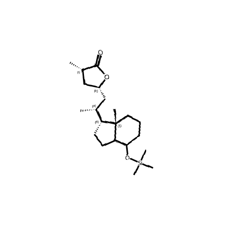 C[C@H](C[C@@H]1C[C@H](C)C(=O)O1)[C@H]1CCC2C(O[Si](C)(C)C)CCC[C@]21C